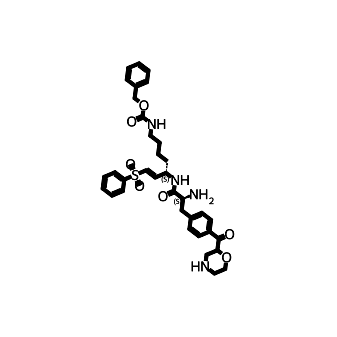 N[C@@H](Cc1ccc(C(=O)C2CNCCO2)cc1)C(=O)N[C@H](C=CS(=O)(=O)c1ccccc1)CCCCNC(=O)OCc1ccccc1